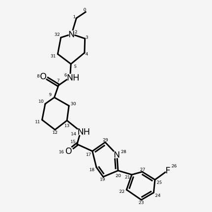 CCN1CCC(NC(=O)C2CCCC(NC(=O)c3ccc(-c4cccc(F)c4)nc3)C2)CC1